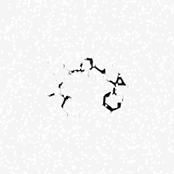 CC[C@H](C)CC(=O)N(C)[C@H](C[C@@H](OC(C)=O)c1nc(C(=O)NC2(c3ccccn3)CC2)cs1)C(C)C